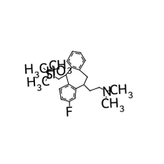 CN(C)CCC1Cc2ccccc2C(O)(C[Si](C)(C)C)c2ccc(F)cc21